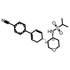 CC(C)S(=O)(=O)N[C@H]1CCOC[C@@H]1C1C=CC(c2ccc(C#N)cc2)=CC1